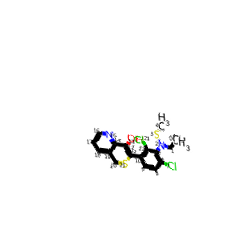 CCN(SC)c1c(Cl)ccc(C2=C(O)c3ncccc3CS2)c1Cl